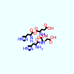 N[C@@H](CCC(=O)O)C(=O)OC(=O)[C@@H](N)Cc1c[nH]cn1.N[C@@H](Cc1c[nH]cn1)C(=O)N[C@@H](CCC(=O)O)C(=O)O